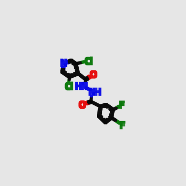 O=C(NNC(=O)c1c(Cl)cncc1Cl)c1ccc(F)c(F)c1